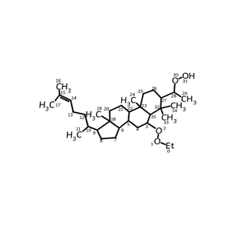 CCOOC1CC2C3CCC(C(C)CCC=C(C)C)C3(C)CCC2C2(C)CCC(C(C)OO)C(C)(C)C12